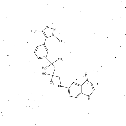 Cc1noc(C)c1-c1cccc(C(C)(C)CC(O)(CNc2ccc3[nH]ccc(=O)c3c2)C(F)(F)F)c1